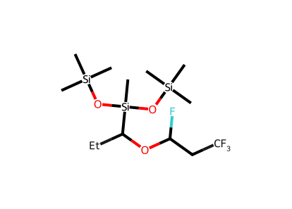 CCC(OC(F)CC(F)(F)F)[Si](C)(O[Si](C)(C)C)O[Si](C)(C)C